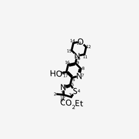 CCOC(=O)[C@@]1(C)CSC(c2ncc(N3CCOCC3)cc2O)=N1